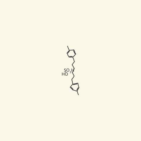 Cc1ccc(CCCCCCc2ccc(C)cc2)cc1.O=S(=O)(O)O